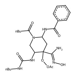 CCCCNC(=O)NC1CN(C(=O)CCCC)C(NC(=O)c2ccccc2)CC1(OOC(C)=O)C(N)=NO